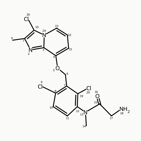 Cc1nc2c(OCc3c(Cl)ccc(N(C)C(=O)CN)c3Cl)cccn2c1Cl